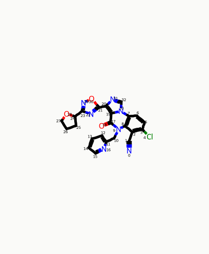 N#Cc1c(Cl)ccc2c1n(Cc1ccccn1)c(=O)c1c(-c3nc(C4CCCO4)no3)ncn12